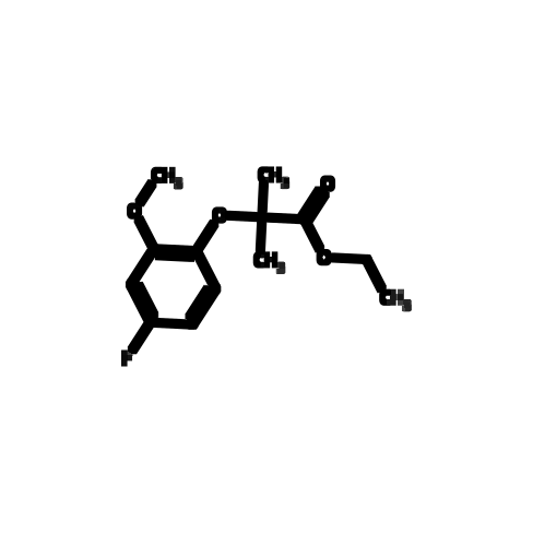 CCOC(=O)C(C)(C)Oc1ccc(F)cc1OC